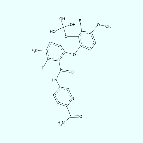 NC(=O)c1ccc(NC(=O)c2c(Oc3ccc(OC(F)(F)F)c(F)c3OC(O)(O)O)ccc(C(F)(F)F)c2F)cn1